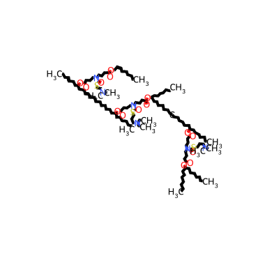 CCC/C=C/CCC(CC/C=C/CCCCCCCCCC(CCCCCCC)OC(=O)CCCN(CCCC(=O)OC(CCCCCCC)CCCCCCCCCCCCCCC(CCCCCCC)OC(=O)CCCN(CCCC(=O)OC(CCCCCCC)CCCCCCC)C(=O)SCCCN(C)C)C(=O)SCCCN(CC)CC)OC(=O)CCCN(CCCC(=O)OC/C=C\CCCCCC)C(=O)SCCN(C)C